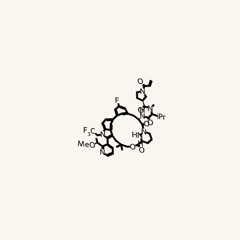 C=CC(=O)N1CC[C@H](C(=O)N(C)C(C(=O)N[C@H]2Cc3cc(F)cc(c3)-c3ccc4c(c3)c(c(-c3cccnc3[C@H](C)OC)n4CC(F)(F)F)CC(C)(C)COC(=O)[C@@H]3CCCN(N3)C2=O)C(C)C)C1